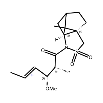 C/C=C/[C@@H](OC)[C@@H](C)C(=O)N1[C@H]2CC3CC[C@@]2(CS1(=O)=O)C3(C)C